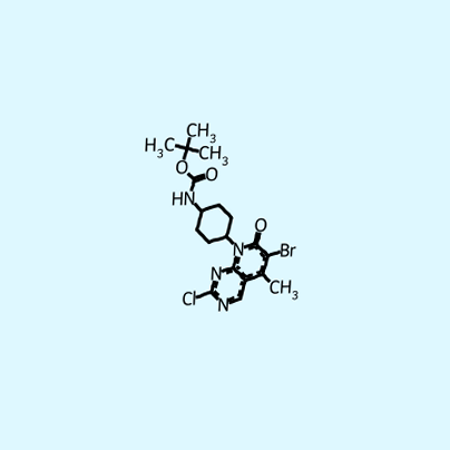 Cc1c(Br)c(=O)n(C2CCC(NC(=O)OC(C)(C)C)CC2)c2nc(Cl)ncc12